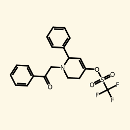 O=C(CN1CCC(OS(=O)(=O)C(F)(F)F)=CC1c1ccccc1)c1ccccc1